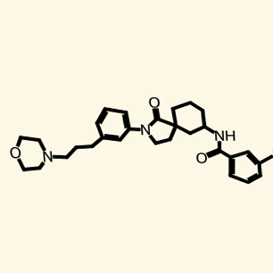 O=C(NC1CCCC2(CCN(c3cccc(CCCN4CCOCC4)c3)C2=O)C1)c1cccc(F)c1